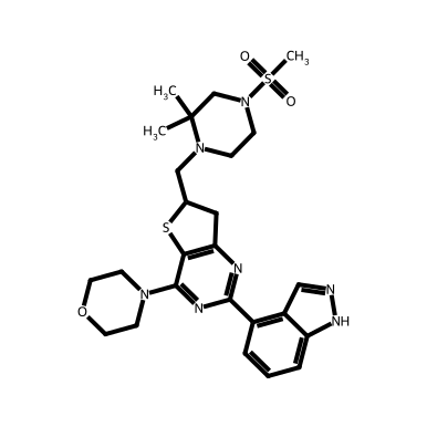 CC1(C)CN(S(C)(=O)=O)CCN1CC1Cc2nc(-c3cccc4[nH]ncc34)nc(N3CCOCC3)c2S1